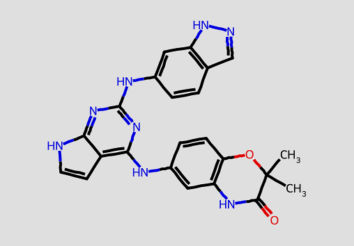 CC1(C)Oc2ccc(Nc3nc(Nc4ccc5cn[nH]c5c4)nc4[nH]ccc34)cc2NC1=O